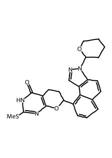 CSc1nc2c(c(=O)[nH]1)CCC(c1cccc3ccc4c(cnn4C4CCCCO4)c13)O2